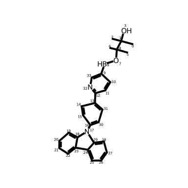 CC(C)(O)C(C)(C)OBc1ccc(-c2ccc(-n3c4ccccc4c4ccccc43)cc2)nc1